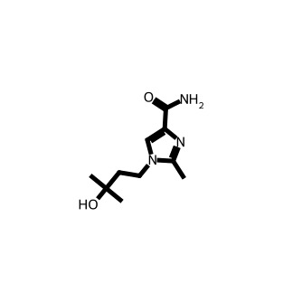 Cc1nc(C(N)=O)cn1CCC(C)(C)O